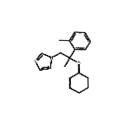 Cc1ccccc1C(C)(Cn1ccnc1)OC1CCCCC1